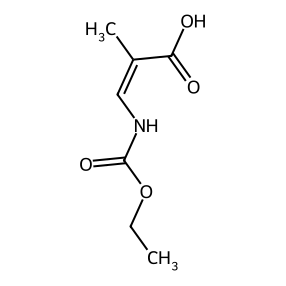 CCOC(=O)NC=C(C)C(=O)O